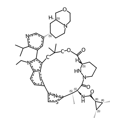 CCn1c(-c2cc([C@H]3CCN4CCOC[C@@H]4C3)cnc2C(C)C)c2c3cc(ccc31)-c1csc(n1)[C@@H](C)[C@H](NC(=O)[C@H]1[C@H](C)[C@@H]1C)C(=O)N1CCC[C@H](N1)C(=O)OCC(C)(C)C2